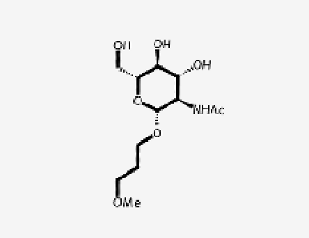 COCCCO[C@@H]1O[C@H](CO)[C@@H](O)[C@H](O)[C@H]1NC(C)=O